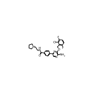 Nc1ncc(-c2ccc(C(=O)NCCN3CCCC3)cc2)nc1OCc1c(F)ccc(F)c1Cl